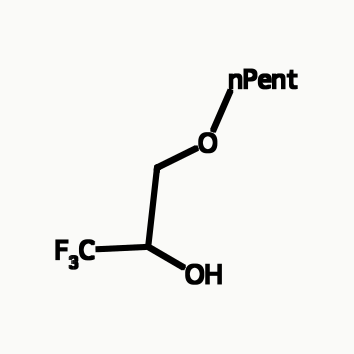 CCCCCOCC(O)C(F)(F)F